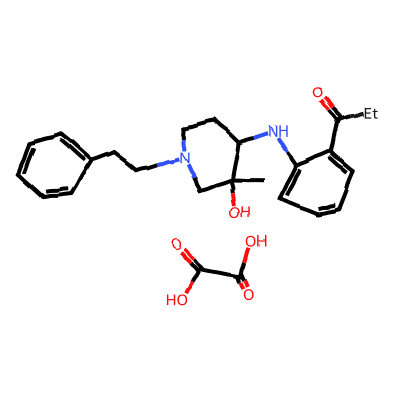 CCC(=O)c1ccccc1NC1CCN(CCc2ccccc2)CC1(C)O.O=C(O)C(=O)O